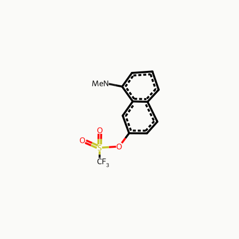 CNc1cccc2ccc(OS(=O)(=O)C(F)(F)F)cc12